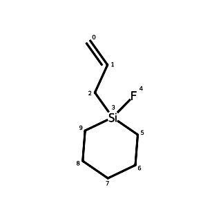 C=CC[Si]1(F)CCCCC1